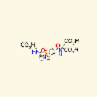 O=C(O)CCNC(=O)[C@H]1CCCN1S(=O)(=O)c1ccc(C(=O)N[C@@H](CCC(=O)O)C(=O)O)cc1